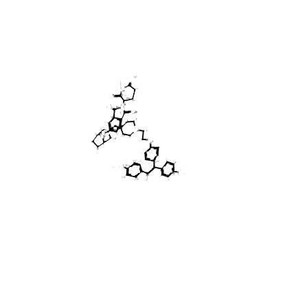 CCC(=C(c1ccc(O)cc1)c1ccc(OCCN2CCC(CN3CC4CCC(C3)N4c3ccc4c(c3)C(=O)N(C3CCC(=O)NC3=O)C4=O)CC2)cc1)c1ccc(O)cc1